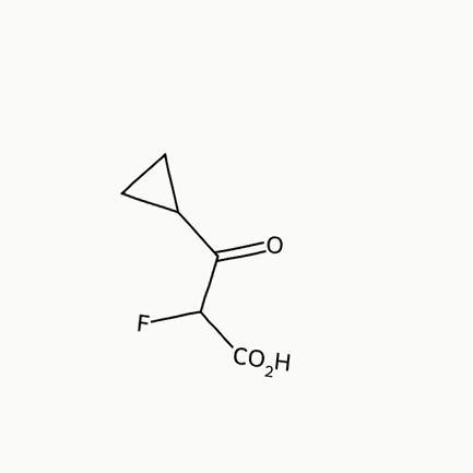 O=C(O)C(F)C(=O)C1CC1